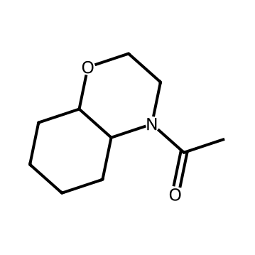 CC(=O)N1CCOC2CCCCC21